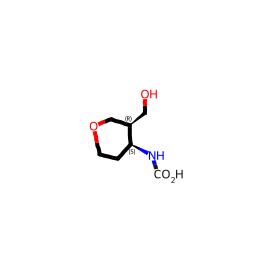 O=C(O)N[C@H]1CCOC[C@H]1CO